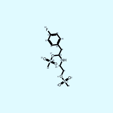 CS(=O)(=O)OCCNC(Cc1ccc(F)cc1)OS(C)(=O)=O